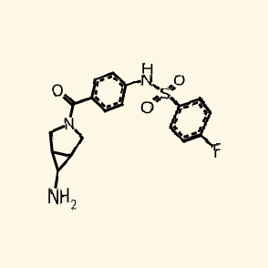 NC1C2CN(C(=O)c3ccc(NS(=O)(=O)c4ccc(F)cc4)cc3)CC12